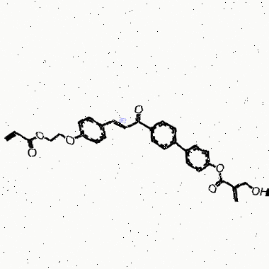 C=CC(=O)OCCOc1ccc(/C=C/C(=O)c2ccc(-c3ccc(OC(=O)C(=C)CO)cc3)cc2)cc1